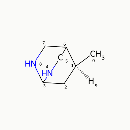 C[C@H]1CC2NCC1CN2